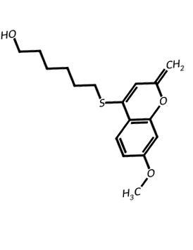 C=C1C=C(SCCCCCCO)c2ccc(OC)cc2O1